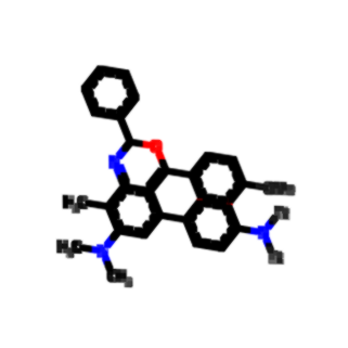 CCN(CC)c1ccc(-c2cc(N(C)C)c(C)c3c2=C(c2ccc(OC)cc2)OC(c2ccccc2)N=3)cc1